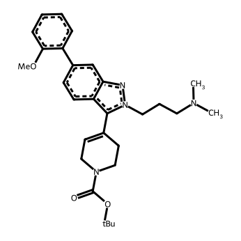 COc1ccccc1-c1ccc2c(C3=CCN(C(=O)OC(C)(C)C)CC3)n(CCCN(C)C)nc2c1